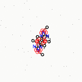 CC1=C(C#N)C(=O)N(C(=O)OCc2ccccc2)C(=O)/C1=N/c1cc2c(s1)C1=C(c3sc(/N=C4/C(=O)N(C(=O)OCc5ccccc5)C(=O)C(C#N)=C4C)cc3C1(C(=O)OCc1ccccc1)C(=O)OCc1ccccc1)C2(C(=O)OCc1ccccc1)C(=O)OCc1ccccc1